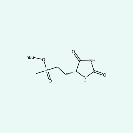 CCCCOP(C)(=O)CC[C@H]1NC(=O)NC1=O